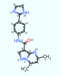 Cc1cc(C)n2ncc(C(=O)Nc3ccc(-c4ncc[nH]4)cc3)c2n1